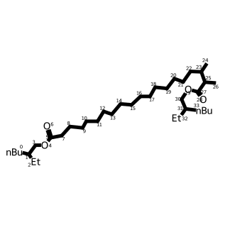 CCCCC(CC)COC(=O)CCCCCCCCCCCCCCCCC(C)C(C)C(=O)OCC(CC)CCCC